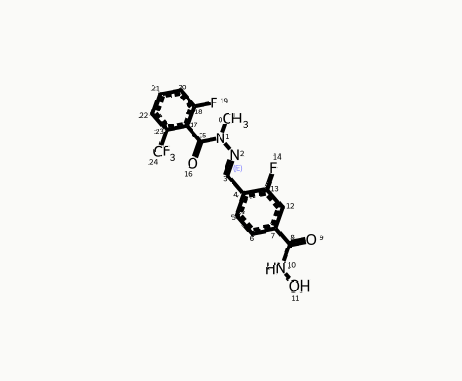 CN(/N=C/c1ccc(C(=O)NO)cc1F)C(=O)c1c(F)cccc1C(F)(F)F